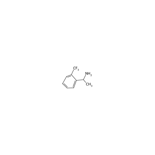 CC(N)c1ccccc1C(F)(F)F